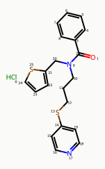 Cl.O=C(c1ccccc1)N(CCCSc1ccncc1)Cc1cccs1